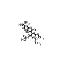 CCOc1cc(OCC(=O)O)c(C(Nc2ccc(C(=N)N)cc2)C(=O)O)cc1CC